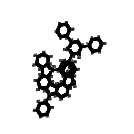 c1ccc(-c2cc(-c3ccccc3)nc(-c3cccc(-n4c5ccccc5c5ccc6c(c7c8c(ccc7n6-c6ccccc6)oc6ccccc68)c54)c3)n2)cc1